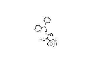 O=C(O)[C@H](O)[C@@H](O)C(=O)OCC(c1ccccc1)c1ccccc1